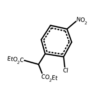 CCOC(=O)C(C(=O)OCC)c1ccc([N+](=O)[O-])cc1Cl